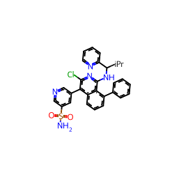 CC(C)C(Nc1nc(Cl)c(-c2cncc(S(N)(=O)=O)c2)c2cccc(-c3ccccc3)c12)c1ccccn1